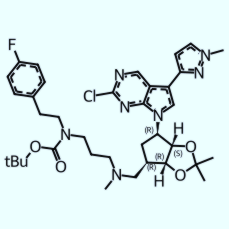 CN(CCCN(CCc1ccc(F)cc1)C(=O)OC(C)(C)C)C[C@H]1C[C@@H](n2cc(-c3ccn(C)n3)c3cnc(Cl)nc32)[C@@H]2OC(C)(C)O[C@H]12